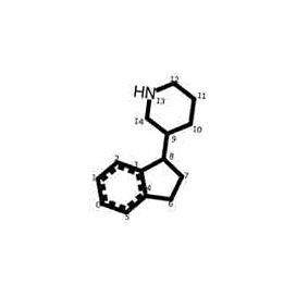 c1ccc2c(c1)CCC2C1CCCNC1